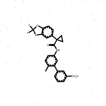 Cc1ccc(NC(=O)C2(c3ccc4c(c3)OC(F)(F)O4)CC2)cc1-c1cccc(C(=O)O)c1